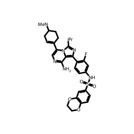 CNC1CC=C(c2cnc(N)c3c(-c4ccc(NS(=O)(=O)c5ccc6c(c5)OCCO6)cc4F)nc(C(C)C)n23)CC1